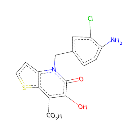 Nc1ccc(Cn2c(=O)c(O)c(C(=O)O)c3sccc32)cc1Cl